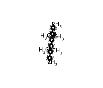 Cc1ccc(-c2cc(C)c(N3C=CC(=C4C=CN(c5c(C)cc(-c6ccc(C)cc6)cc5C)C=C4)C=C3)c(C)c2)cc1